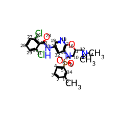 Cc1cccc(S(=O)(=O)N2C[C@H](CN(C)C)Oc3ncc(NC(=O)c4c(Cl)cccc4Cl)cc32)c1